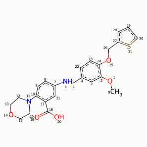 COc1cc(CNc2ccc(N3CCOCC3)c(C(=O)O)c2)ccc1OCc1cccs1